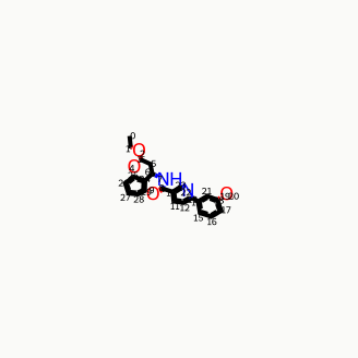 CCOC(=O)CC(NC(=O)c1ccc(-c2cccc(OC)c2)nc1)c1ccccc1